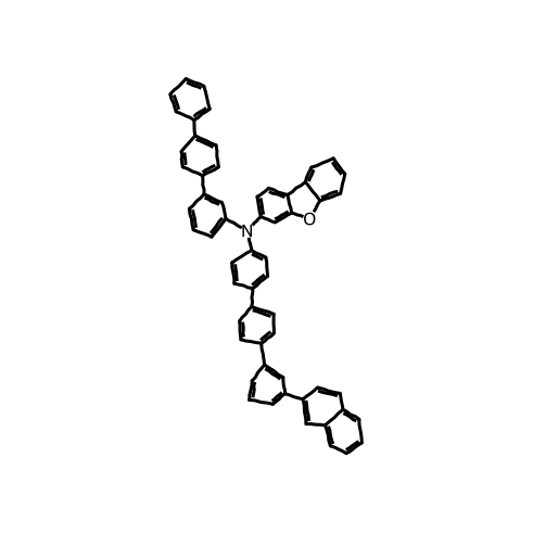 c1ccc(-c2ccc(-c3cccc(N(c4ccc(-c5ccc(-c6cccc(-c7ccc8ccccc8c7)c6)cc5)cc4)c4ccc5c(c4)oc4ccccc45)c3)cc2)cc1